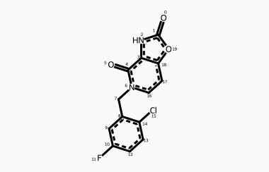 O=c1[nH]c2c(=O)n(Cc3cc(F)ccc3Cl)ccc2o1